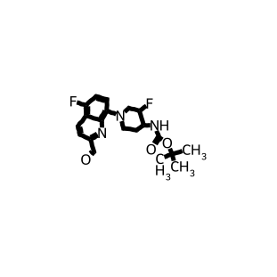 CC(C)(C)OC(=O)NC1CCN(c2ccc(F)c3ccc(C=O)nc23)CC1F